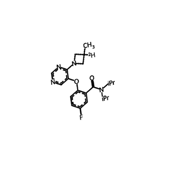 [2H]C1(C)CN(c2ncncc2Oc2ccc(F)cc2C(=O)N(C(C)C)C(C)C)C1